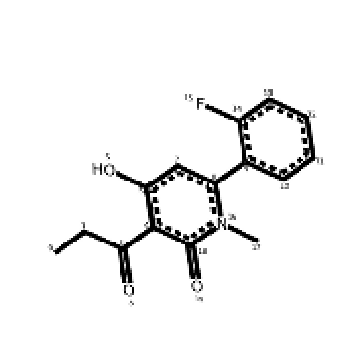 CCC(=O)c1c(O)cc(-c2ccccc2F)n(C)c1=O